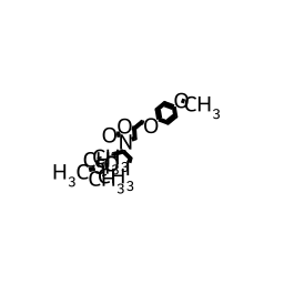 COc1ccc(OCC2CN(C(CI)CO[Si](C)(C)C(C)(C)C)C(=O)O2)cc1